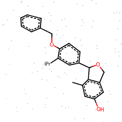 Cc1cc(O)cc2c1C(c1ccc(OCc3ccccc3)c(C(C)C)c1)OC2